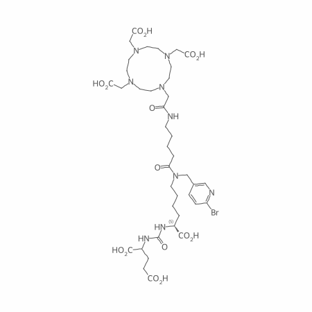 O=C(O)CCC(NC(=O)N[C@@H](CCCCN(Cc1ccc(Br)nc1)C(=O)CCCCNC(=O)CN1CCN(CC(=O)O)CCN(CC(=O)O)CCN(CC(=O)O)CC1)C(=O)O)C(=O)O